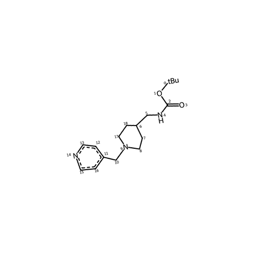 CC(C)(C)OC(=O)NCC1CCN(Cc2ccncc2)CC1